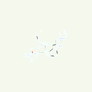 C=CCN1C[C@@H](NC(=O)N(CC)CC)C[C@@H]2c3cccc4[nH]c(C[N+]5(C)CCOCC5)c(c34)C[C@H]21.[I-]